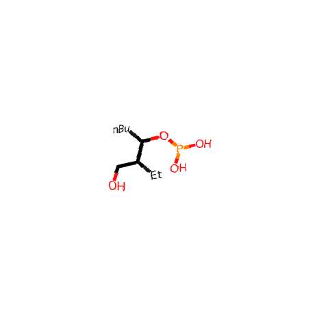 CCCCC(OP(O)O)C(CC)CO